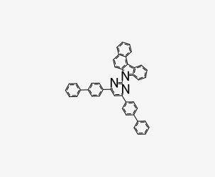 c1ccc(-c2ccc(-c3cc(-c4ccc(-c5ccccc5)cc4)nc(-n4c5ccccc5c5c6ccccc6ccc54)n3)cc2)cc1